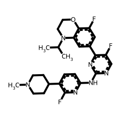 CC(C)N1CCOc2c(F)cc(-c3nc(Nc4ccc(C5CCN(C)CC5)c(F)n4)ncc3F)cc21